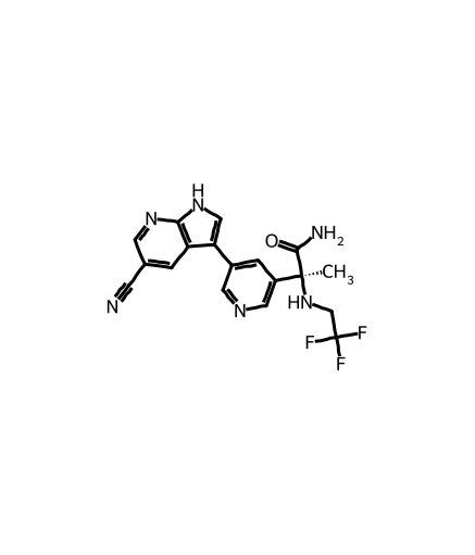 C[C@@](NCC(F)(F)F)(C(N)=O)c1cncc(-c2c[nH]c3ncc(C#N)cc23)c1